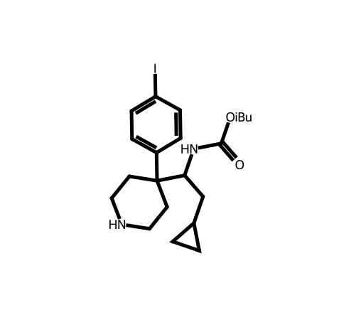 CC(C)COC(=O)NC(CC1CC1)C1(c2ccc(I)cc2)CCNCC1